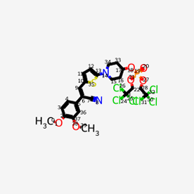 COc1ccc(/C(C#N)=C/c2ccc(N3CCC(OP(=O)(OCC(Cl)(Cl)Cl)OCC(Cl)(Cl)Cl)CC3)s2)cc1OC